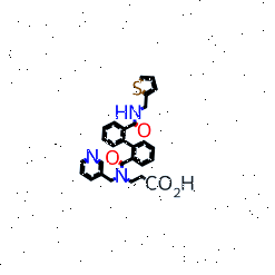 O=C(O)CCN(Cc1cccnc1)C(=O)c1ccccc1-c1ccccc1C(=O)NCc1cccs1